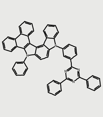 c1ccc(-c2nc(-c3ccccc3)nc(-c3cccc(-n4c5ccccc5c5c6c7c8ccccc8c8ccccc8c7n(-c7ccccc7)c6ccc54)c3)n2)cc1